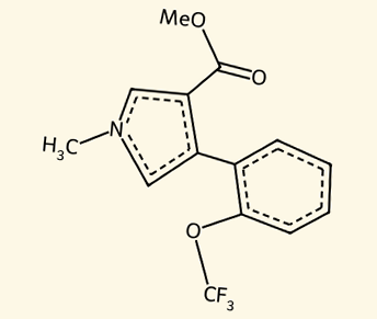 COC(=O)c1cn(C)cc1-c1ccccc1OC(F)(F)F